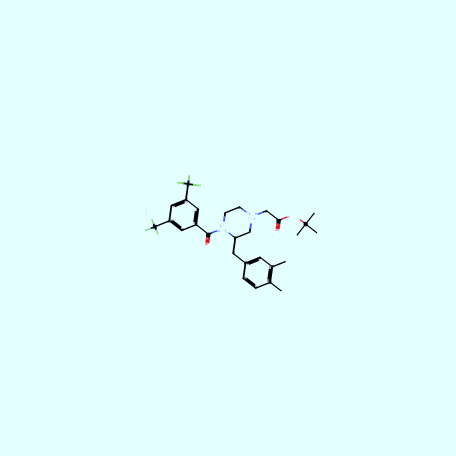 Cc1ccc(CC2CN(CC(=O)OC(C)(C)C)CCN2C(=O)c2cc(C(F)(F)F)cc(C(F)(F)F)c2)cc1C